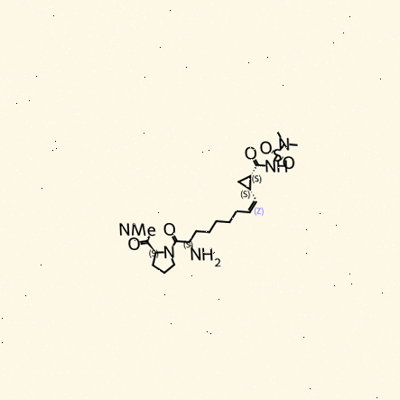 CNC(=O)[C@@H]1CCCN1C(=O)[C@@H](N)CCCCC/C=C\[C@@H]1C[C@@H]1C(=O)NS(=O)(=O)N(C)C